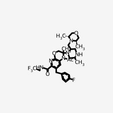 CC(=O)N1c2cc(Cc3ccc(F)cc3)c(C(=O)NCC(F)(F)F)nc2OCC1(C)N1CC(C)NCC1CN1[C@H](C)COC[C@H]1C